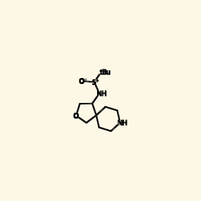 CC(C)(C)[S+]([O-])NC1COCC12CCNCC2